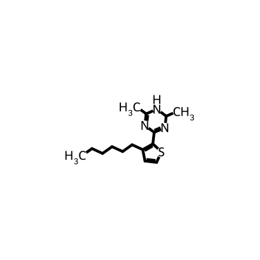 CCCCCCc1ccsc1C1=NC(C)NC(C)=N1